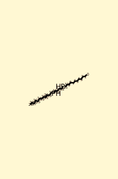 CCCCCCCCCCCCPCCCCPCCCCCCCCCCCC